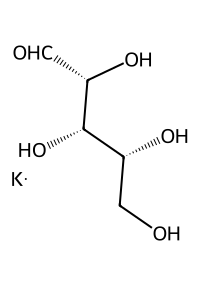 O=C[C@H](O)[C@@H](O)[C@H](O)CO.[K]